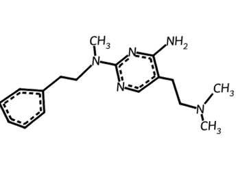 CN(C)CCc1cnc(N(C)CCc2ccccc2)nc1N